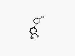 Nc1ccc(N2CCC(O)C2)cc1F